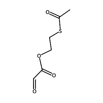 CC(=O)SCCOC(=O)C=O